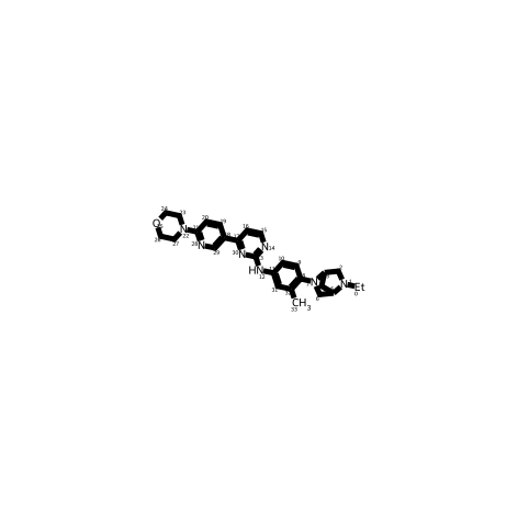 CCN1CC2CC1CN2c1ccc(Nc2nccc(-c3ccc(N4CCOCC4)nc3)n2)cc1C